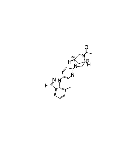 CC(=O)N1C[C@@H]2C[C@H]1CN2c1ccc(-n2nc(I)c3cccc(C)c32)cn1